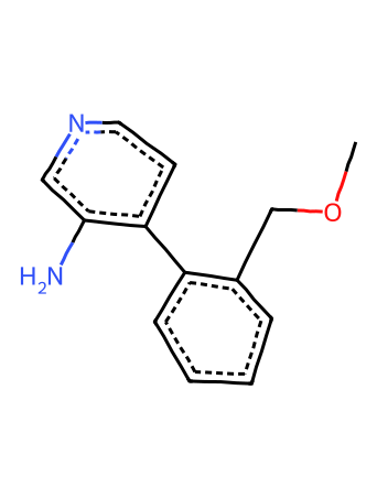 COCc1ccccc1-c1ccncc1N